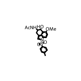 COc1ccc2c3c(cn2S(=O)(=O)c2ccc(C)cc2)CC(NC(C)=O)C(O)c13